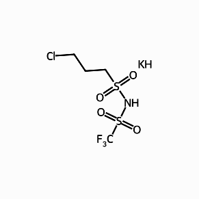 O=S(=O)(CCCCl)NS(=O)(=O)C(F)(F)F.[KH]